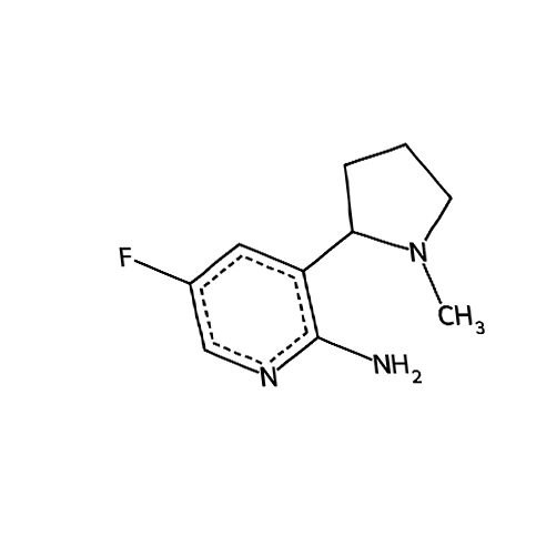 CN1CCCC1c1cc(F)cnc1N